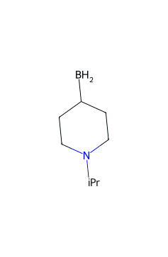 BC1CCN(C(C)C)CC1